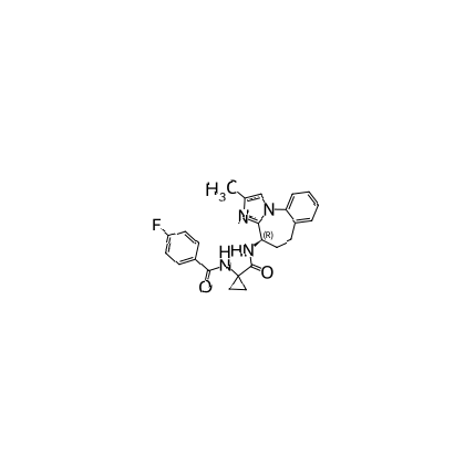 Cc1cn2c(n1)[C@H](NC(=O)C1(NC(=O)c3ccc(F)cc3)CC1)CCc1ccccc1-2